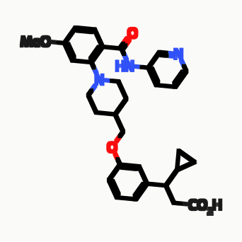 COc1ccc(C(=O)Nc2cccnc2)c(N2CCC(COc3cccc(C(CC(=O)O)C4CC4)c3)CC2)c1